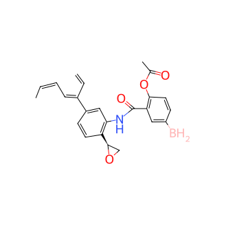 Bc1ccc(OC(C)=O)c(C(=O)Nc2cc(/C(C=C)=C/C=C\C)ccc2[C@H]2CO2)c1